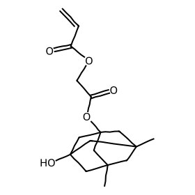 C=CC(=O)OCC(=O)OC12CC3(C)CC(C)(CC(O)(C3)C1)C2